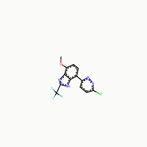 COc1ccc(-c2ccc(Cl)nn2)c2[nH]c(C(F)(F)F)nc12